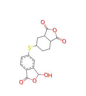 O=C1OC(O)c2cc(SC3CCC4C(=O)OC(=O)C4C3)ccc21